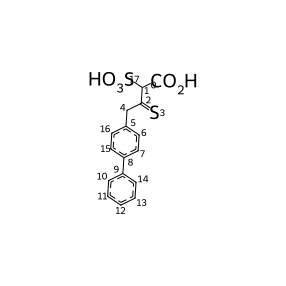 O=C(O)C(C(=S)Cc1ccc(-c2ccccc2)cc1)S(=O)(=O)O